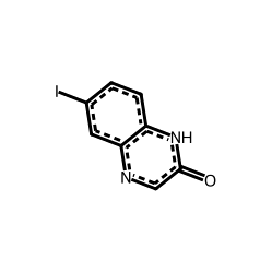 O=c1cnc2cc(I)ccc2[nH]1